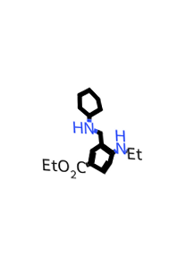 CCNc1ccc(C(=O)OCC)cc1CNC1CCCCC1